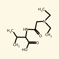 CCN(CC)CC(=O)NC(C(=O)O)C(C)C